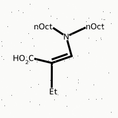 CCCCCCCCN(C=C(CC)C(=O)O)CCCCCCCC